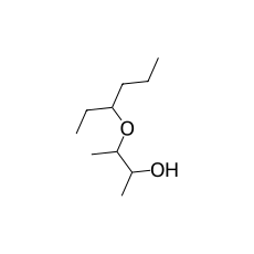 CCCC(CC)OC(C)C(C)O